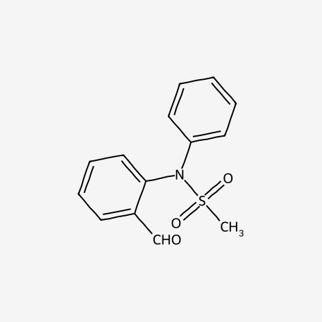 CS(=O)(=O)N(c1ccccc1)c1ccccc1C=O